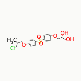 C[C@H](CCl)COc1ccc(S(=O)(=O)c2ccc(OC[C@@H](O)CO)cc2)cc1